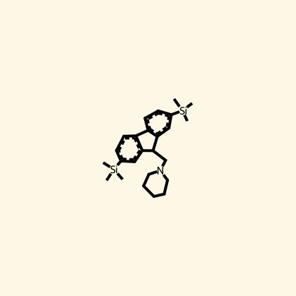 C[Si](C)(C)c1ccc2c(c1)C(CN1CCCCC1)c1cc([Si](C)(C)C)ccc1-2